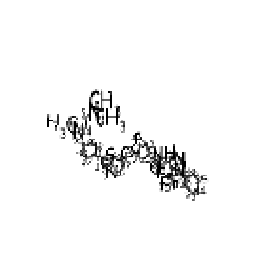 CN(C)CCN(C)Cc1ccc(-c2cc3nccc(Oc4ccc(NC(=O)c5cnn(-c6ccccc6)c5C(F)(F)F)cc4F)c3s2)cc1